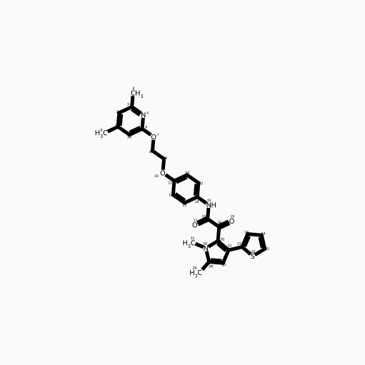 Cc1cc(C)nc(OCCOc2ccc(NC(=O)C(=O)c3c(-c4cccs4)cc(C)n3C)cc2)c1